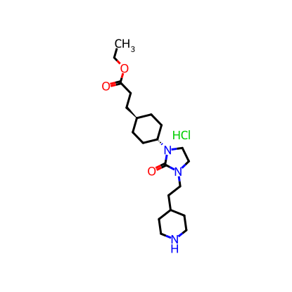 CCOC(=O)CC[C@H]1CC[C@H](N2CCN(CCC3CCNCC3)C2=O)CC1.Cl